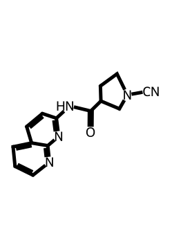 N#CN1CCC(C(=O)Nc2ccc3cccnc3n2)C1